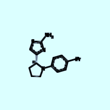 CC(C)c1ccc(N2CCC[C@@H]2c2csc(N)n2)cc1